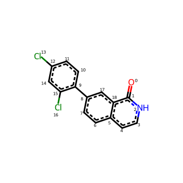 O=c1[nH]ccc2ccc(-c3ccc(Cl)cc3Cl)cc12